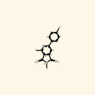 Cc1nc(-c2ccc(I)cc2)cc2c1C(=O)N(C)C2=O